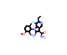 CCc1ncc2c(C(N)=O)c(N)n(-c3c(C)ccc(OC)c3C)c2c1F